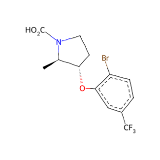 C[C@@H]1[C@@H](Oc2cc(C(F)(F)F)ccc2Br)CCN1C(=O)O